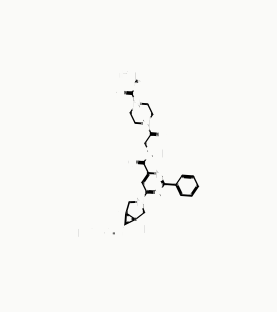 CCCCOC(=O)N1CCN(C(=O)CNC(=O)c2cc(N3C[C@@H]4[C@H](C3)[C@@H]4OC(=O)O)nc(-c3ccccc3)n2)CC1